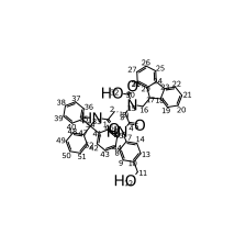 O=C(C[C@@H](C(=O)Nc1ccc(CO)cc1)N(CC1c2ccccc2-c2ccccc21)C(=O)O)NC(c1ccccc1)(c1ccccc1)c1ccccc1